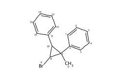 CC1(c2ccccc2)C(Br)C1c1ccccc1